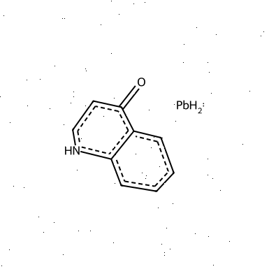 O=c1cc[nH]c2ccccc12.[PbH2]